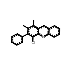 Cc1c(-c2ccccc2)c(Cl)c2nc3ccccc3cc2c1C